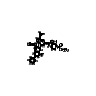 CC(C)(C)OC(=O)N1CC[C@H](CNc2cc(N(Cc3c(F)cc(-c4ccccc4)cc3F)C(=O)OC(C)(C)C)n3ncc(C4CC4)c3n2)[C@@H](O)C1